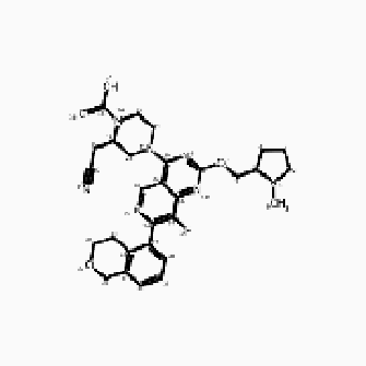 CN1CCCC1COc1nc(N2CCN(C(=O)O)C(CC#N)C2)c2cnc(-c3cccc4c3CCOC4)c(F)c2n1